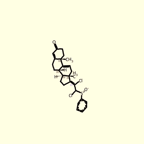 C[C@]12CCC(=O)C=C1CC[C@@H]1C2=CC[C@]2(C)/C(=C(\Cl)C(Cl)[S+]([O-])c3ccccc3)CC[C@@H]12